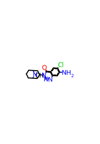 CN1C2CCCC1CC(n1nnc3cc(N)c(Cl)cc3c1=O)C2